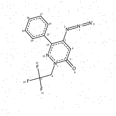 [N-]=[N+]=Nc1cc(=O)n(CC(F)(F)F)nc1-c1ccccc1